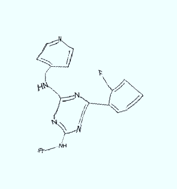 CC(C)Nc1nc(Nc2ccncc2)nc(-c2ccccc2F)n1